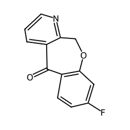 O=C1c2ccc(F)cc2OCc2ncccc21